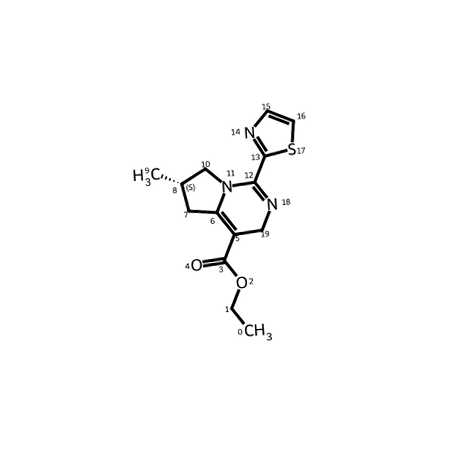 CCOC(=O)C1=C2C[C@H](C)CN2C(c2nccs2)=NC1